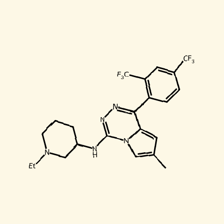 CCN1CCCC(Nc2nnc(-c3ccc(C(F)(F)F)cc3C(F)(F)F)c3cc(C)cn23)C1